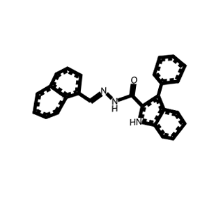 O=C(NN=Cc1cccc2ccccc12)c1[nH]c2ccccc2c1-c1ccccc1